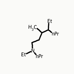 CCCC(CC)C(C)CCN(CC)CCC